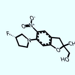 CC1(CO)Cc2cc([N+](=O)[O-])c(N3CC[C@H](F)C3)cc2O1